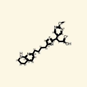 COc1ncc(C(CC(=O)O)c2nc(CCCCc3ccc4c(n3)NCCC4)cs2)cn1